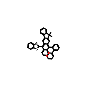 CC1(C)c2ccccc2-c2cc3c(-c4nc5ccccc5s4)c4ccccc4c(-c4ccccc4-c4ccccc4)c3cc21